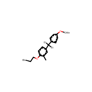 CCC(CC)(c1ccc(OOC)cc1)c1ccc(OCCC(C)(C)C)c(C)c1